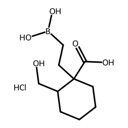 Cl.O=C(O)C1(CCB(O)O)CCCCC1CO